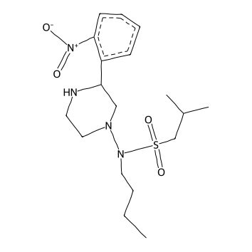 CCCCN(N1CCNC(c2ccccc2[N+](=O)[O-])C1)S(=O)(=O)CC(C)C